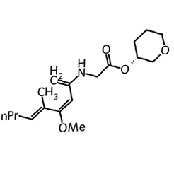 C=C(/C=C(OC)\C(C)=C\CCC)NCC(=O)O[C@@H]1CCCOC1